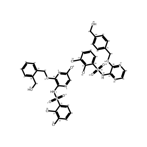 O=S(=O)(Nc1ncc(Cl)nc1OCc1ccccc1CO)c1cccc(Cl)c1Cl.O=S(=O)(Nc1nccnc1OCc1ccc(CO)cc1)c1cccc(Cl)c1Cl